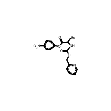 CCC(C)C(NC(=O)OCc1ccccn1)C(=O)Oc1ccc([N+](=O)[O-])cc1